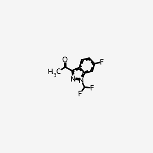 CC(=O)c1nn(C(F)F)c2cc(F)ccc12